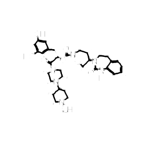 Cc1cc(C)cc(C[C@@H](OC(=O)N2CCC(N3CCc4ccccc4NC3=O)CC2)C(=O)N2CCN(C3CCN(C)CC3)CC2)c1